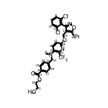 CC(C)c1onc(-c2c(Cl)cccc2Cl)c1COc1ccc(N(C)Cc2ccc(C(=O)OCCO)cc2)c(C(F)(F)F)n1